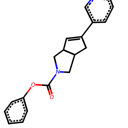 O=C(Oc1ccccc1)N1CC2C=C(c3cccnc3)CC2C1